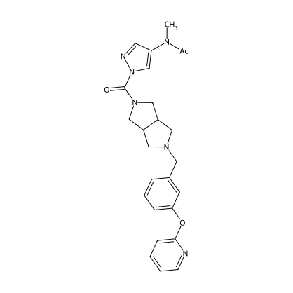 CC(=O)N(C)c1cnn(C(=O)N2CC3CN(Cc4cccc(Oc5ccccn5)c4)CC3C2)c1